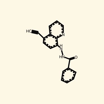 C#Cc1ccc(NNC(=O)c2ccccc2)c2ncccc12